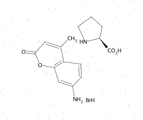 Br.Cc1cc(=O)oc2cc(N)ccc12.O=C(O)[C@@H]1CCCN1